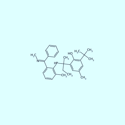 CCC(C)(Pc1c(C)cccc1/C(=N/C)c1ccccc1)c1cc(C)cc(C(C)(C)C)c1O